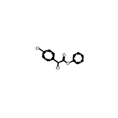 O=C(Oc1ccccc1)C(Cl)c1ccc(Cl)cc1